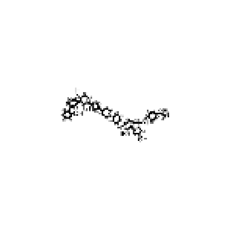 Cc1ncsc1-c1ccc(CNC(=O)[C@@H]2C[C@@H](O)CN2C(=O)[C@@H](NC(=O)[C@H]2CC[C@H](N3CCC(c4cnc(N5CCc6[nH]c7nnc(-c8ccccc8O)cc7c6[C@H]5C)nc4)CC3)CC2)C(C)(C)C)cc1